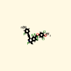 C=C(/C(F)=C\CC#CC1CC=C(CCCC)C=C1F)c1cc(F)c(C(F)(F)Oc2cc(Cl)c(OC(F)(F)F)c(Cl)c2)c(F)c1